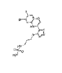 NS(=O)(=O)NCCCOc1nonc1/C(=N/O)Nc1ccc(F)c(Br)c1